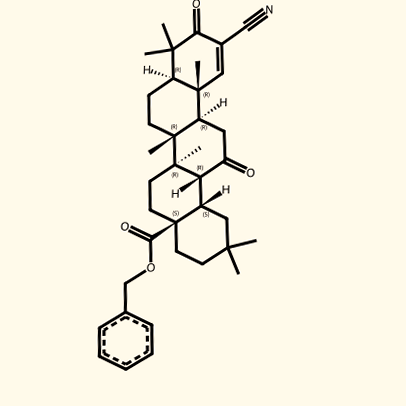 CC1(C)CC[C@]2(C(=O)OCc3ccccc3)CC[C@]3(C)[C@H](C(=O)C[C@@H]4[C@@]5(C)C=C(C#N)C(=O)C(C)(C)[C@@H]5CC[C@]43C)[C@@H]2C1